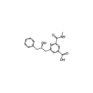 CNC(=O)c1cc(C(=O)O)cc(C[C@H](O)Cc2ccccc2)n1